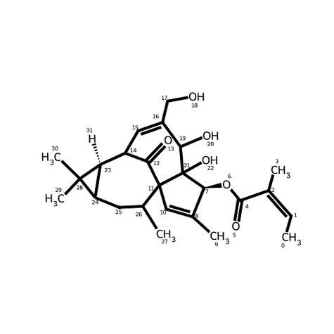 C/C=C(/C)C(=O)O[C@H]1C(C)=CC23C(=O)C(C=C(CO)C(O)C12O)[C@H]1C(CC3C)C1(C)C